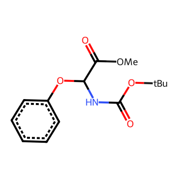 COC(=O)C(NC(=O)OC(C)(C)C)Oc1ccccc1